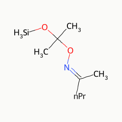 CCCC(C)=NOC(C)(C)O[SiH3]